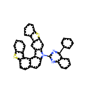 c1ccc(-c2nc(-n3c4cc5sc6ccccc6c5cc4c4c5c(ccc6sc7ccccc7c65)ccc43)nc3ccccc23)cc1